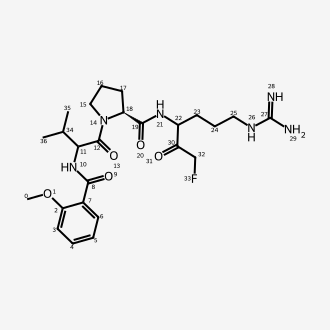 COc1ccccc1C(=O)NC(C(=O)N1CCC[C@H]1C(=O)NC(CCCNC(=N)N)C(=O)CF)C(C)C